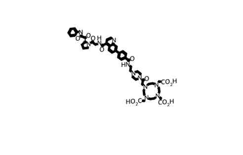 O=C(O)CN1CCN(CC(=O)O)CCN(CC(=O)N2CCN(CCNC(=O)c3ccc(-c4ccc5c(C(=O)NCC(=O)N6CCC[C@H]6C(=O)c6nc7ccccc7o6)ccnc5c4)cc3)CC2)CCN(CC(=O)O)CC1